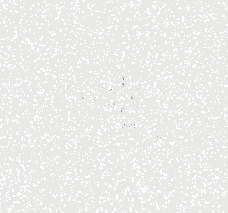 CN[C@H](Cc1c(Br)c(=O)n2n(c1=O)C(S)C(C(=O)OC(C)(C)C)C2)C(=O)OC